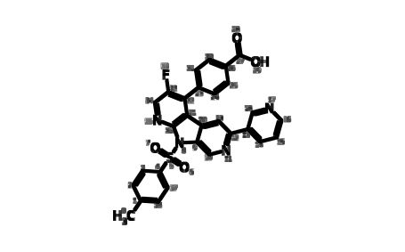 Cc1ccc(S(=O)(=O)n2c3cnc(-c4cccnc4)cc3c3c(-c4ccc(C(=O)O)cc4)c(F)cnc32)cc1